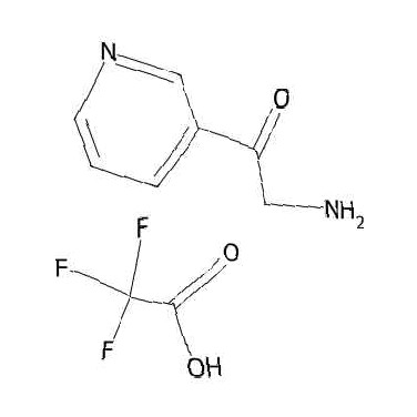 NCC(=O)c1cccnc1.O=C(O)C(F)(F)F